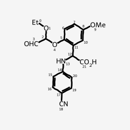 CCOC(C=O)Oc1ccc(OC)cc1C(Nc1ccc(C#N)cc1)C(=O)O